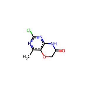 Cc1nc(Cl)nc2c1OCC(=O)N2